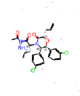 C=CC[C@@H]1O[C@@H](c2cccc(Cl)c2)[C@@H](c2ccc(Cl)cc2)N([C@H](CCC)C(=O)N(N)C(C)=O)C1=O